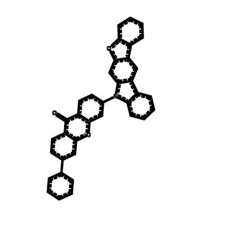 O=c1c2ccc(-c3ccccc3)cc2oc2cc(-n3c4ccccc4c4cc5c(cc43)oc3ccccc35)ccc12